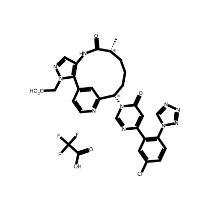 C[C@@H]1CCC[C@H](n2cnc(-c3cc(Cl)ccc3-n3cnnn3)cc2=O)c2cc(ccn2)-c2c(cnn2CC(=O)O)NC1=O.O=C(O)C(F)(F)F